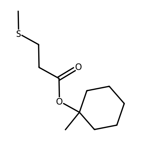 CSCCC(=O)OC1(C)CCCCC1